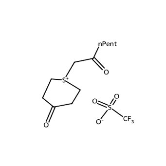 CCCCCC(=O)C[S+]1CCC(=O)CC1.O=S(=O)([O-])C(F)(F)F